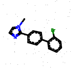 Cn1ccnc1-c1ccc(-c2ccccc2Br)cc1